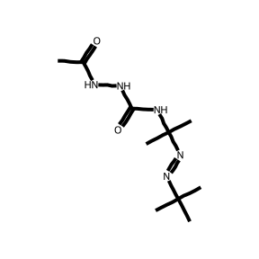 CC(=O)NNC(=O)NC(C)(C)/N=N/C(C)(C)C